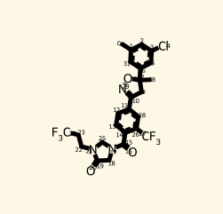 Cc1cc(Cl)cc(C2(C)CC(c3ccc(C(=O)N4CC(=O)N(CCC(F)(F)F)C4)c(C(F)(F)F)c3)=NO2)c1